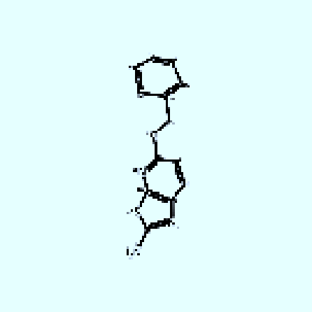 Nc1nc2ccc(OCc3ccccc3)nc2s1